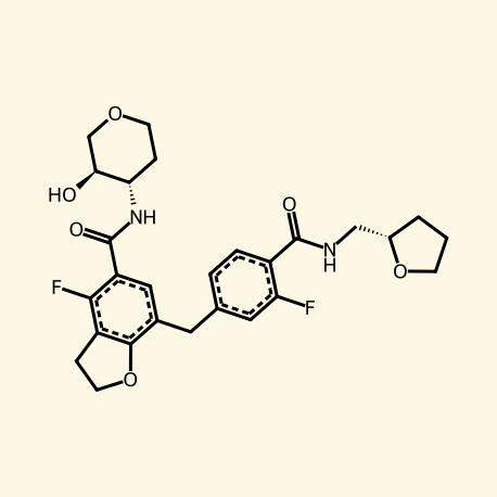 O=C(NC[C@@H]1CCCO1)c1ccc(Cc2cc(C(=O)N[C@H]3CCOC[C@@H]3O)c(F)c3c2OCC3)cc1F